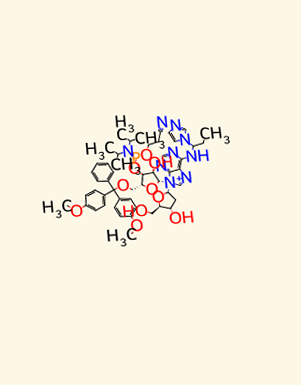 CCC(Nc1ncnc2c1N=C[N+]2([C@@H]1C[C@H](O)[C@@H](CO)O1)[C@@H]1O[C@H](COC(c2ccccc2)(c2ccc(OC)cc2)c2ccc(OC)cc2)[C@@H](OP(OCCC#N)N(C(C)C)C(C)C)[C@H]1O)n1ccnc1